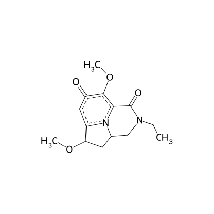 CCN1CC2CC(OC)c3cc(=O)c(OC)c(n32)C1=O